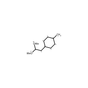 COC(CC1CCC(C)CC1)OC